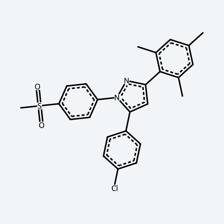 Cc1cc(C)c(-c2cc(-c3ccc(Cl)cc3)n(-c3ccc(S(C)(=O)=O)cc3)n2)c(C)c1